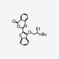 CCCCC(CC)COc1c(-c2nc3ccccc3c(=O)o2)sc2ccccc12